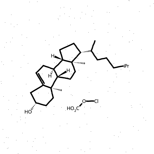 CC(C)CCCC(C)[C@H]1CC[C@H]2[C@@H]3CC=C4C[C@@H](O)CC[C@]4(C)[C@H]3CC[C@]12C.O=C(O)OCl